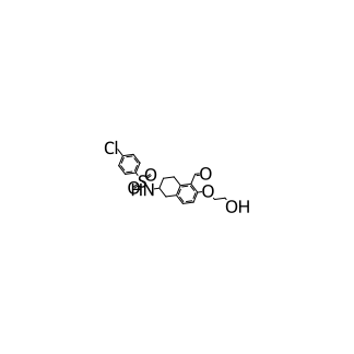 O=Cc1c(OCCO)ccc2c1CCC(NS(=O)(=O)c1ccc(Cl)cc1)C2